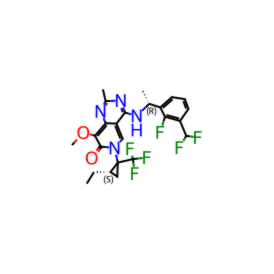 CC[C@H]1CC1(n1cc2c(N[C@H](C)c3cccc(C(F)F)c3F)nc(C)nc2c(OC)c1=O)C(F)(F)F